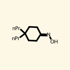 CCCC1(CCC)CCC(=NO)CC1